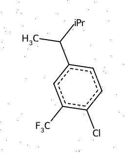 CC(C)C(C)c1ccc(Cl)c(C(F)(F)F)c1